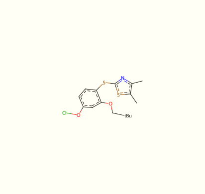 Cc1nc(Sc2ccc(OCl)cc2OCC(C)(C)C)sc1C